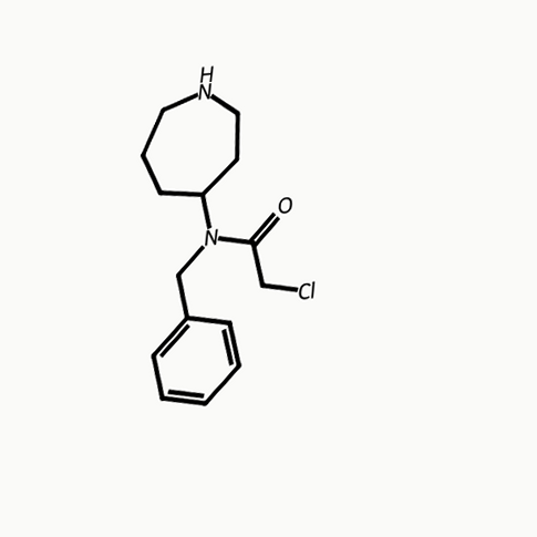 O=C(CCl)N(Cc1ccccc1)C1CCCNCC1